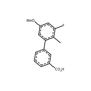 COc1cc(F)c(C)c(-c2cccc(C(=O)O)c2)c1